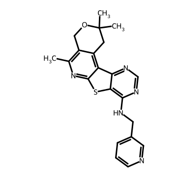 Cc1nc2sc3c(NCc4cccnc4)ncnc3c2c2c1COC(C)(C)C2